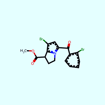 COC(=O)C1CCn2c(C(=O)c3ccccc3Br)cc(Br)c21